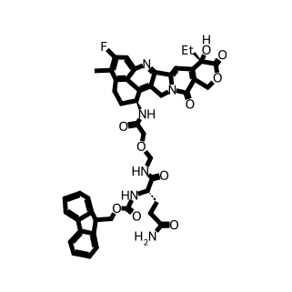 CC[C@@]1(O)C(=O)OCc2c1cc1n(c2=O)Cc2c-1nc1cc(F)c(C)c3c1c2[C@@H](NC(=O)COCNC(=O)[C@H](CCC(N)=O)NC(=O)OCC1c2ccccc2-c2ccccc21)CC3